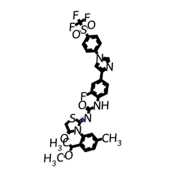 COC(C)c1ccc(C)cc1N1C(=O)CS/C1=N\C(=O)Nc1ccc(-c2cn(-c3ccc(S(=O)(=O)C(F)(F)F)cc3)cn2)cc1F